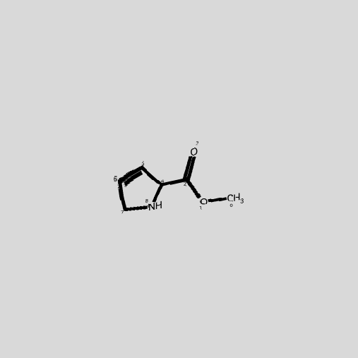 COC(=O)C1C=CCN1